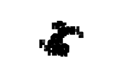 CCC[C@H]1CN(c2ccc(C(F)(F)F)c(-c3n[nH]c4ncccc34)n2)C[C@H]1N